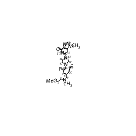 COCCN(C)Cc1cc(F)c(N2CCN(c3cc4c(nnn4C)c(=O)[nH]3)CC2)c(F)c1